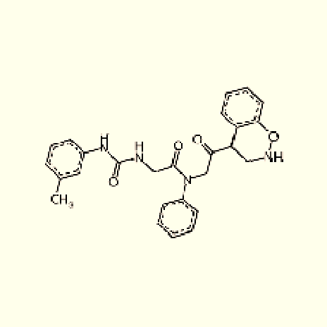 Cc1cccc(NC(=O)NCC(=O)N(CC(=O)C2CNOc3ccccc32)c2ccccc2)c1